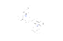 CC(C)(C)c1ccc(-n2c3ccccc3c3ccc(-c4ccc5c6ccccc6n(-c6cccc(C(C)(C)C)c6)c5c4)cc32)cc1